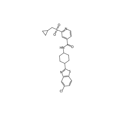 O=C(NC1CCC(c2nc3cc(Cl)ccc3s2)CC1)c1ccnc(S(=O)(=O)CC2CC2)c1